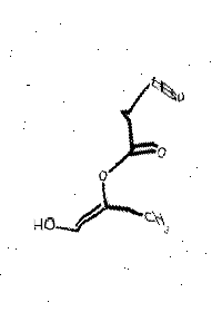 C/C(=C/O)OC(=O)CC(C)(C)C